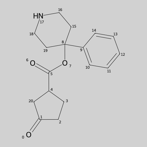 O=C1CCC(C(=O)OC2(c3ccccc3)CCNCC2)C1